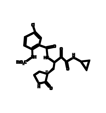 CCOC(=O)Nc1ccc(Cl)cc1C(=O)NC(C[C@@H]1CCNC1=O)C(=O)C(=O)NC1CC1